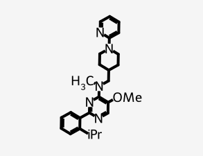 COc1cnc(-c2ccccc2C(C)C)nc1N(C)CC1CCN(c2ccccn2)CC1